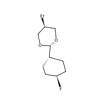 CC[C@H]1CO[C@H]([C@H]2CC[C@H](F)CC2)OC1